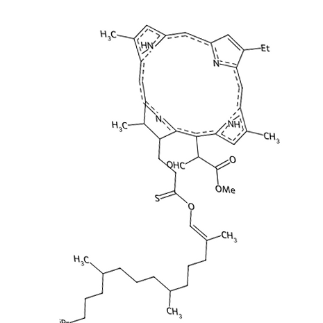 CCC1=Cc2cc3cc(C)c(cc4nc(c(C(C=O)C(=O)OC)c5cc(C)c(cc1n2)[nH]5)C(CCC(=S)O/C=C(\C)CCCC(C)CCCC(C)CCCC(C)C)C4C)[nH]3